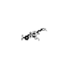 C=CCN(CC(=O)NC(=O)CCCC)S(=O)(=O)Cc1cccc(C(F)F)c1